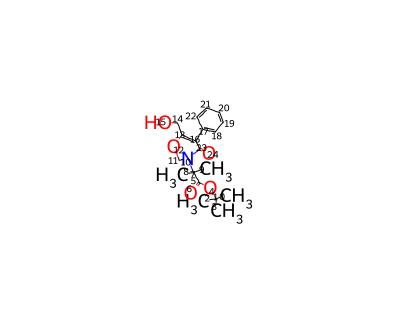 CC(C)(C)OC(=O)C(C)(C)N1COC(CO)=C(c2ccccc2)C1=O